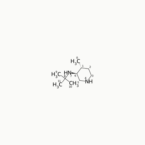 C[C@@H]1CCNC[C@H]1NC(C)(C)C